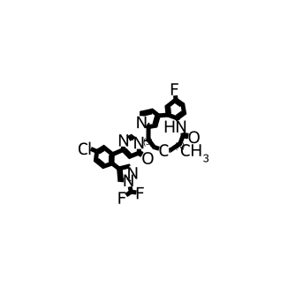 C[C@@H]1CCC[C@H](n2cnc(-c3cc(Cl)ccc3-c3cnn(C(F)F)c3)cc2=O)c2cc(ccn2)-c2cc(F)ccc2NC1=O